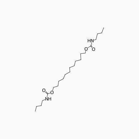 CCCCNC(=O)OCCCCCCCCCCCCOC(=O)NCCCC